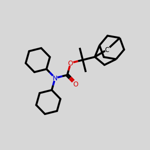 CC(C)(OC(=O)N(C1CCCCC1)C1CCCCC1)C12CC3CC(CC1C3)C2